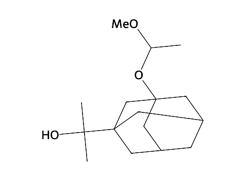 COC(C)OC12CC3CC(C1)CC(C(C)(C)O)(C3)C2